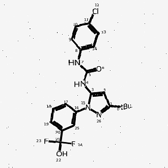 CC(C)(C)c1cc(NC(=O)Nc2ccc(Cl)cc2)n(-c2cccc(C(O)(F)F)c2)n1